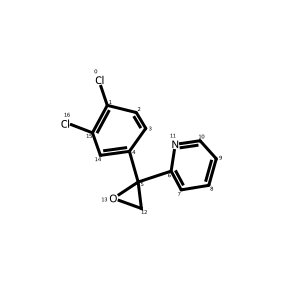 Clc1ccc(C2(c3ccccn3)CO2)cc1Cl